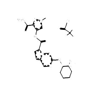 CNC(=O)c1nn(C)cc1NC(=O)c1ccc2cnc(N[C@@H]3CCCC[C@@H]3N)nn12.O=C(O)C(F)(F)F